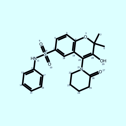 CC1(C)Oc2ccc(S(=O)(=O)Nc3ccccc3)cc2C(N2CCCCC2=O)=C1O